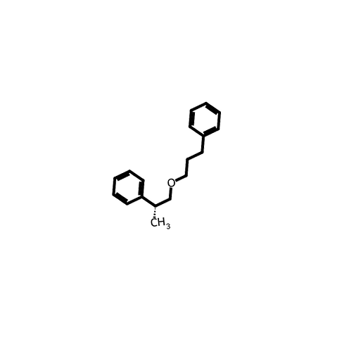 C[C@@H](COCCCc1ccccc1)c1ccccc1